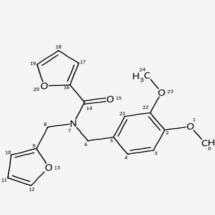 COc1ccc(CN(Cc2ccco2)C(=O)c2ccco2)cc1OC